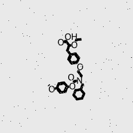 CCOC(Cc1ccc(OCCN(CC2CCCCC2)C(=O)Oc2ccc(OC)cc2)cc1)C(=O)O